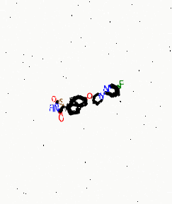 O=C1NC(=O)C([C@@H]2CCc3cc(O[C@H]4CCCN(c5ccc(F)cn5)C4)ccc32)S1